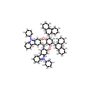 c1ccc(-n2c3ccccc3c3cc4c(cc32)Oc2c(-c3cc5ccccc5c5ccccc35)cc(-c3cc5ccccc5c5ccccc35)c3c2B4c2cc4c5ccccc5n(-c5ccccc5)c4cc2O3)cc1